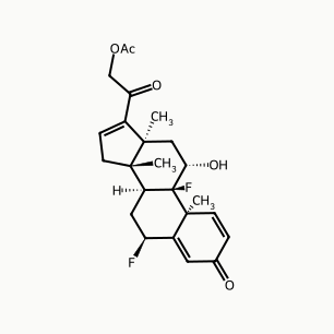 CC(=O)OCC(=O)C1=CC[C@@]2(C)[C@@H]3C[C@H](F)C4=CC(=O)C=C[C@]4(C)[C@@]3(F)[C@@H](O)C[C@]12C